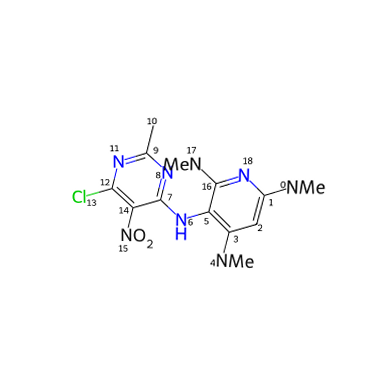 CNc1cc(NC)c(Nc2nc(C)nc(Cl)c2[N+](=O)[O-])c(NC)n1